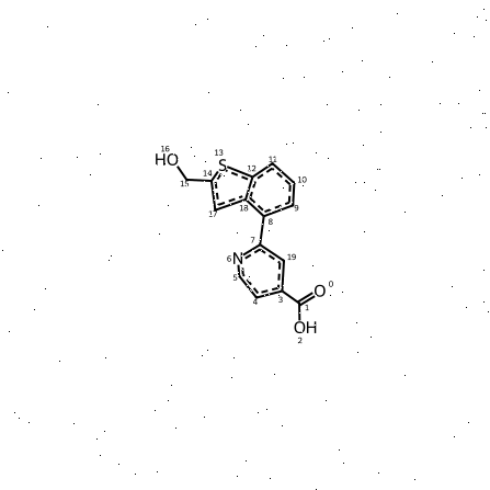 O=C(O)c1ccnc(-c2cccc3sc(CO)cc23)c1